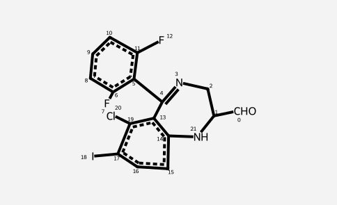 O=CC1CN=C(c2c(F)cccc2F)c2c(ccc(I)c2Cl)N1